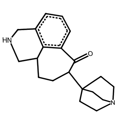 O=C1c2cccc3c2C(CCC1C12CCN(CC1)CC2)CNC3